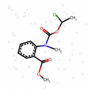 COC(=O)c1ccccc1N(C)C(=O)OC(C)Cl